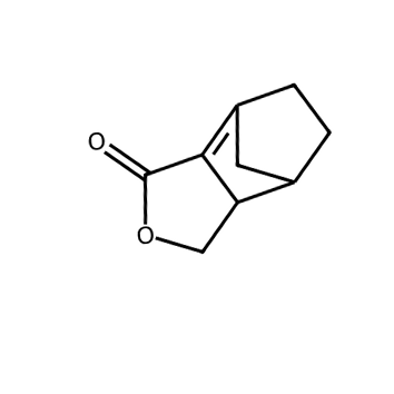 O=C1OCC2C1=C1CCC2C1